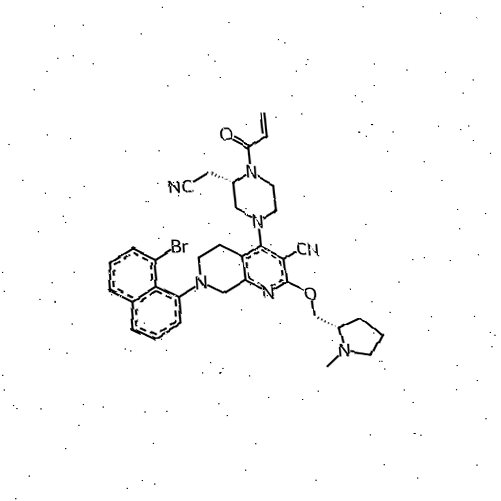 C=CC(=O)N1CCN(c2c(C#N)c(OC[C@@H]3CCCN3C)nc3c2CCN(c2cccc4cccc(Br)c24)C3)C[C@@H]1CC#N